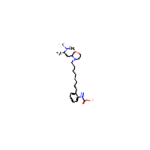 CC(CC1COCCN1CCCCCCCCc1ccccc1NC(=O)O)N(C)C